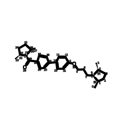 C[C@@H]1CC[C@@H](C)N1CCCOc1ccc(-c2ccc(C(=O)N3[C@H](C)CC[C@H]3C)cc2)cc1